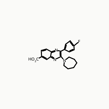 O=C(O)c1ccc2nc(-c3ccc(F)cc3)c(N3CCCCCC3)nc2c1